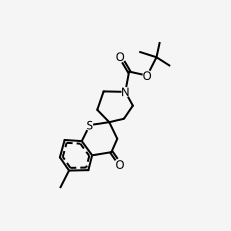 Cc1ccc2c(c1)C(=O)CC1(CCN(C(=O)OC(C)(C)C)CC1)S2